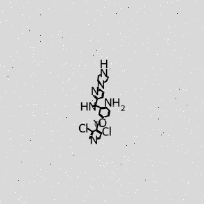 C[C@@H](Oc1ccc(N)c(C(=N)c2ccc(N3CCNCC3)nc2)c1)c1c(Cl)cncc1Cl